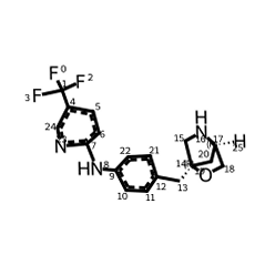 FC(F)(F)c1ccc(Nc2ccc(C[C@@]34CN[C@@H](CO3)C4)cc2)nc1